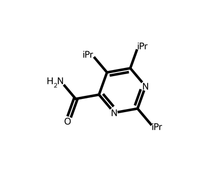 CC(C)c1nc(C(N)=O)c(C(C)C)c(C(C)C)n1